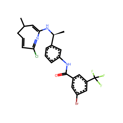 CC1\C=C(N[C@@H](C)c2cccc(NC(=O)c3cc(Br)cc(C(F)(F)F)c3)c2)/N=C(Cl)\C=C\C1